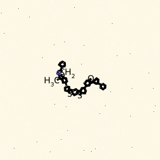 C=C(/C=C\c1oc2ccc(-c3ccc4sc5cc6sc7ccc(-c8ccc9oc%10ccc(-c%11ccccc%11)cc%10c9c8)cc7c6cc5c4c3)cc2c1C)c1ccccc1